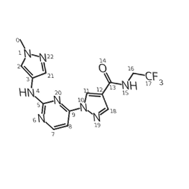 Cn1cc(Nc2nccc(-n3cc(C(=O)NCC(F)(F)F)cn3)n2)cn1